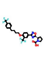 O=C(O)N1CCC[C@H]1c1nc(-c2ccc(OCCCCc3ccc(C(F)(F)F)cc3)c(C(F)(F)F)c2)no1